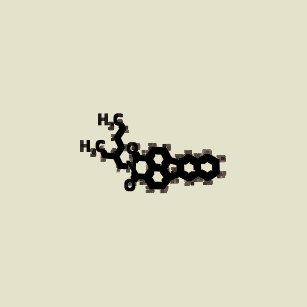 CCCCC(CC)CN1C(=O)c2ccc3c4c(ccc(c24)C1=O)-c1cc2ccccc2cc1-3